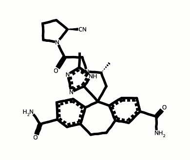 Cc1nnc(C2(C[C@@H](C)NCC(=O)N3CCC[C@H]3C#N)c3ccc(C(N)=O)cc3CCc3cc(C(N)=O)ccc32)[nH]1